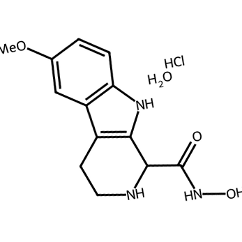 COc1ccc2[nH]c3c(c2c1)CCNC3C(=O)NO.Cl.O